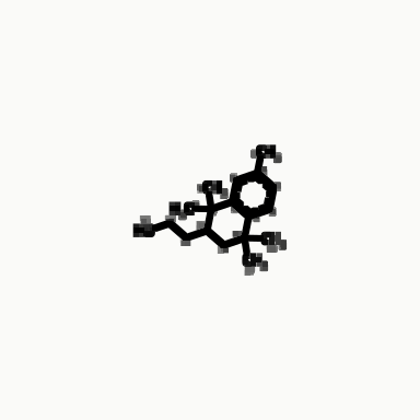 Cc1ccc2c(c1)C(C)(C)C(CCO)CC2(C)C